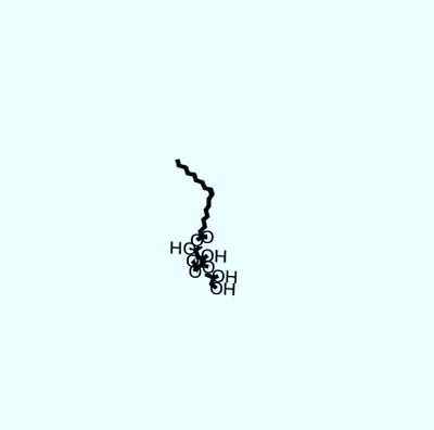 CCCCCCCC/C=C\CCCCCCCC(=O)OC[C@H](O)[C@H]1OC(=O)C(OCC(O)CO)=C1O